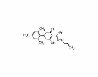 C=CCO/N=C(\CCC)C1=C(O)CC(c2c(C)cc(C)cc2C)CC1=O